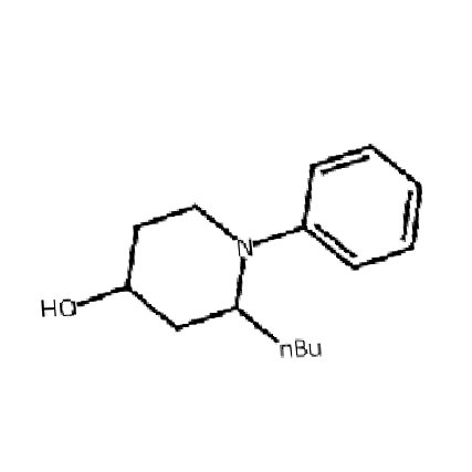 CCCCC1CC(O)CCN1c1ccccc1